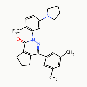 Cc1cc(C)cc(-c2nn(-c3cc(N4CCCC4)ccc3C(F)(F)F)c(=O)c3c2CCC3)c1